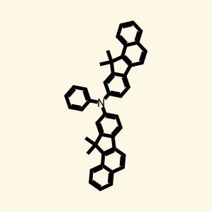 CC1(C)c2cc(N(c3ccccc3)c3ccc4c(c3)C(C)(C)c3c-4ccc4ccccc34)ccc2-c2ccc3ccccc3c21